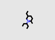 CCC1CCC(C)N(C(CC)CC)C1